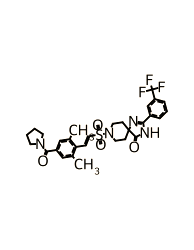 Cc1cc(C(=O)N2CCCC2)cc(C)c1/C=C/S(=O)(=O)N1CCC2(CC1)N=C(c1cccc(C(F)(F)F)c1)NC2=O